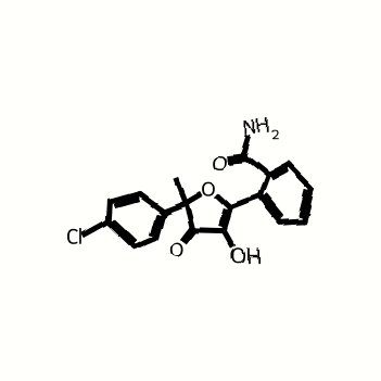 CC1(c2ccc(Cl)cc2)OC(c2ccccc2C(N)=O)=C(O)C1=O